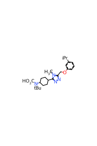 CC(C)c1cccc(OCc2nnc(C3CCC(N(C(=O)O)C(C)(C)C)CC3)n2C)c1